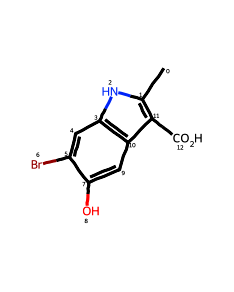 Cc1[nH]c2cc(Br)c(O)cc2c1C(=O)O